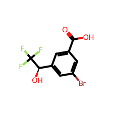 O=C(O)c1cc(Br)cc([C@@H](O)C(F)(F)F)c1